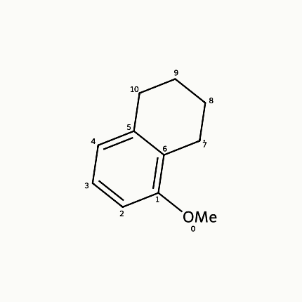 COc1cccc2c1[CH]CCC2